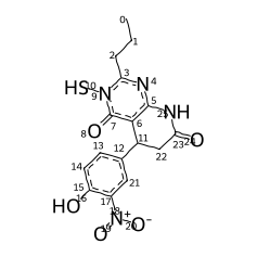 CCCc1nc2c(c(=O)n1S)C(c1ccc(O)c([N+](=O)[O-])c1)CC(=O)N2